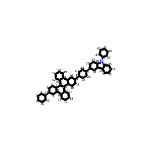 c1ccc(-c2ccc3c(c2)c2ccccc2c2c4ccc(-c5ccc(-c6ccc7c(c6)c6ccccc6n7-c6ccccc6)cc5)cc4c4ccccc4c32)cc1